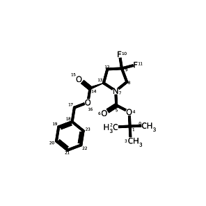 CC(C)(C)OC(=O)N1CC(F)(F)C[C@@H]1C(=O)OCc1ccccc1